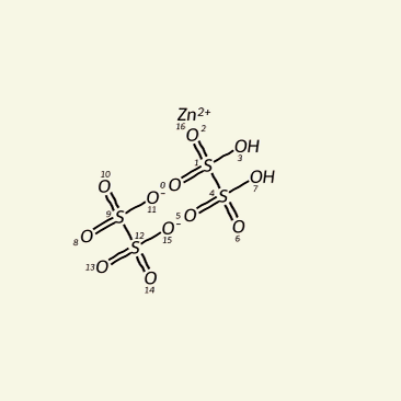 O=S(=O)(O)S(=O)(=O)O.O=S(=O)([O-])S(=O)(=O)[O-].[Zn+2]